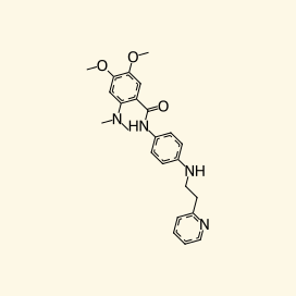 COc1cc(C(=O)Nc2ccc(NCCc3ccccn3)cc2)c(N(C)C)cc1OC